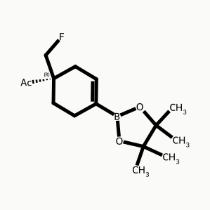 CC(=O)[C@]1(CF)CC=C(B2OC(C)(C)C(C)(C)O2)CC1